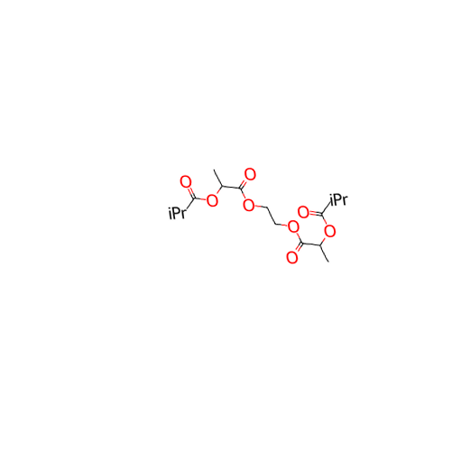 CC(C)C(=O)OC(C)C(=O)OCCOC(=O)C(C)OC(=O)C(C)C